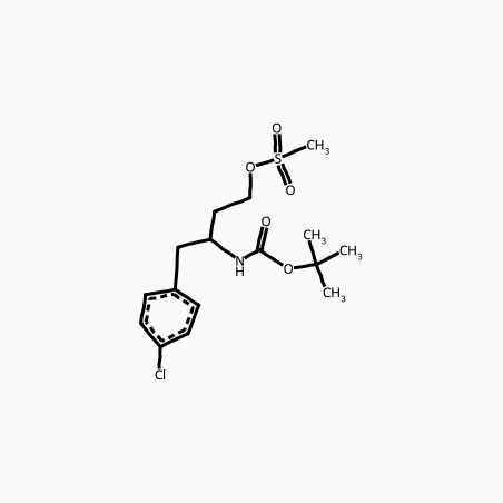 CC(C)(C)OC(=O)NC(CCOS(C)(=O)=O)Cc1ccc(Cl)cc1